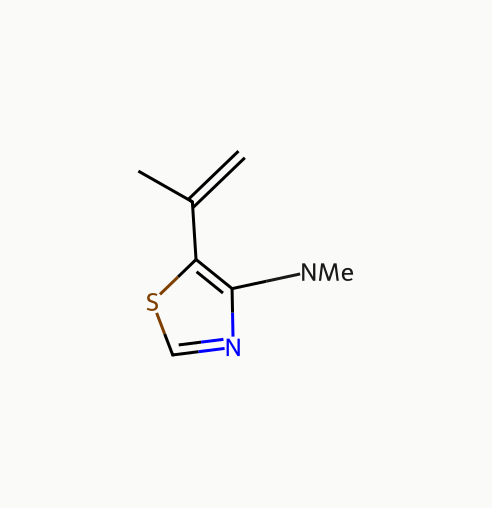 C=C(C)c1scnc1NC